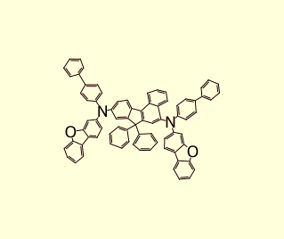 c1ccc(-c2ccc(N(c3ccc4c(c3)C(c3ccccc3)(c3ccccc3)c3cc(N(c5ccc(-c6ccccc6)cc5)c5ccc6c(c5)oc5ccccc56)c5ccccc5c3-4)c3ccc4c(c3)oc3ccccc34)cc2)cc1